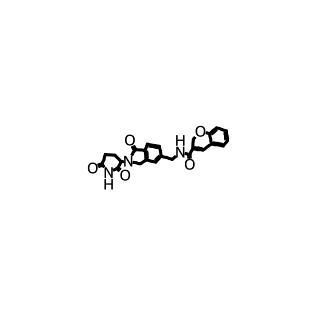 O=C1CCC(N2Cc3cc(CNC(=O)C4=Cc5ccccc5OC4)ccc3C2=O)C(=O)N1